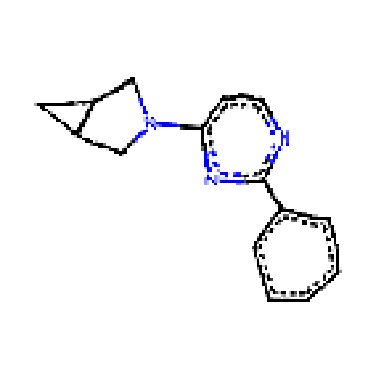 c1ccc(-c2nccc(N3CC4CC4C3)n2)cc1